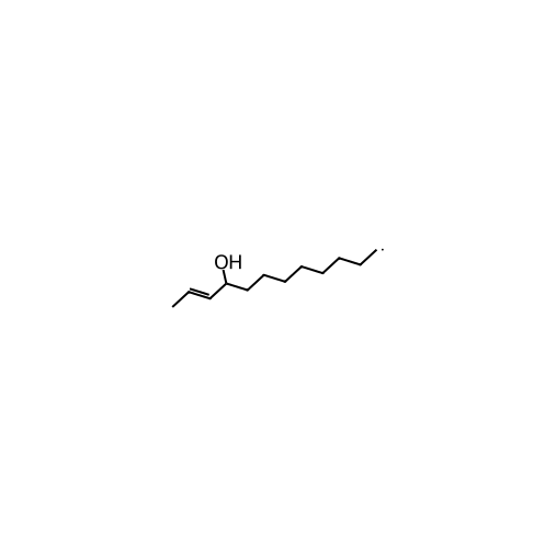 [CH2]CCCCCCCC(O)C=CC